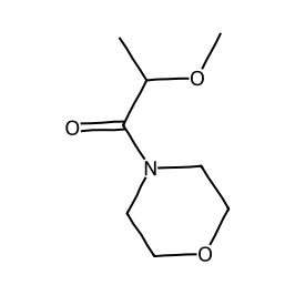 COC(C)C(=O)N1CCOCC1